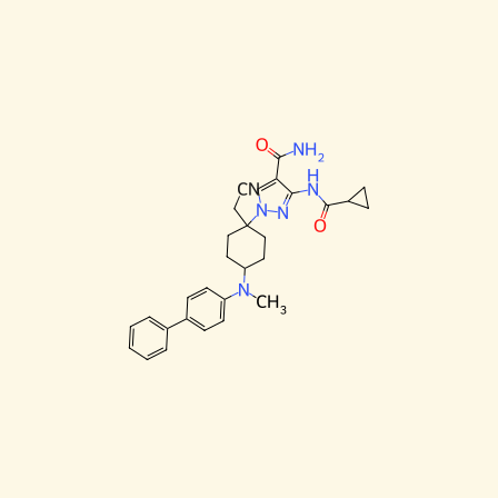 CN(c1ccc(-c2ccccc2)cc1)C1CCC(CC#N)(n2cc(C(N)=O)c(NC(=O)C3CC3)n2)CC1